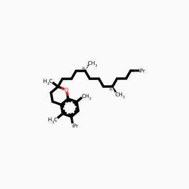 Cc1cc(C(C)C)c(C)c2c1OC(C)(CCC[C@H](C)CCC[C@H](C)CCCC(C)C)CC2